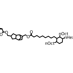 C=CC(=O)OCC1CC2C3CC(COC(=O)CCCCCCCCC4C(CCCCCCCC)CCC(CCCCCC)C4CCCCCCCC)C(C3)C2C1